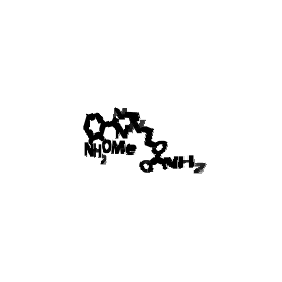 COc1c(N)cccc1-c1ncn(CCOC(N)=O)n1